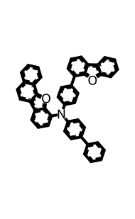 c1ccc(-c2ccc(N(c3ccc(-c4cccc5c4oc4ccccc45)cc3)c3cccc4c3oc3c5ccccc5ccc43)cc2)cc1